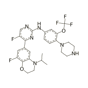 CC(C)N1CCOc2c(F)cc(-c3nc(Nc4ccc(N5CCNCC5)c(OC(F)(F)F)c4)ncc3F)cc21